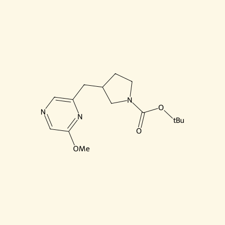 COc1cncc(CC2CCN(C(=O)OC(C)(C)C)C2)n1